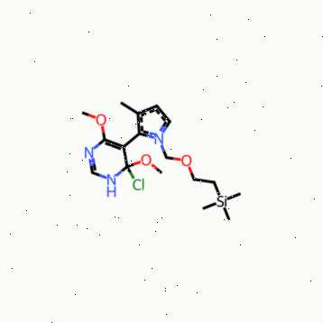 COC1=C(c2c(C)ccn2COCC[Si](C)(C)C)C(Cl)(OC)NC=N1